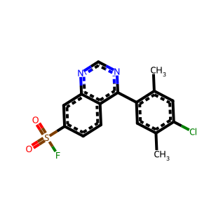 Cc1cc(-c2ncnc3cc(S(=O)(=O)F)ccc23)c(C)cc1Cl